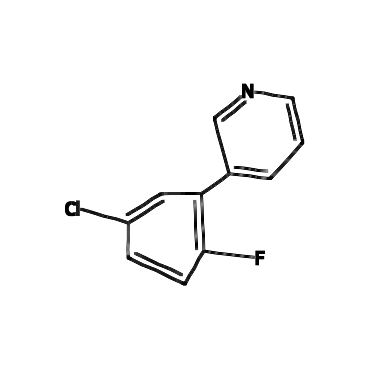 Fc1ccc(Cl)cc1-c1cccnc1